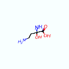 NCC[C@@](N)(O)C(=O)O